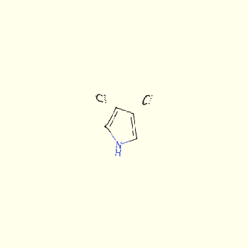 [C].[C].c1cc[nH]c1